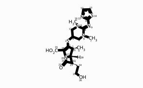 C[C@H]1C(SC2CN(C)C(=Nc3nccs3)N(C)C2)=C(C(=O)O)N2C(=O)[C@@H](CCO)[C@@H]12